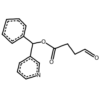 O=CCCC(=O)OC(c1ccccc1)c1cccnc1